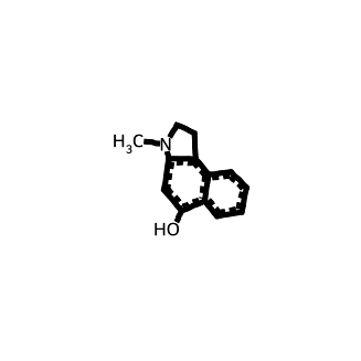 CN1CCc2c1cc(O)c1ccccc21